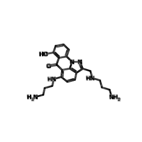 NCCCNCc1nn2c3cccc(O)c3c(=O)c3c(NCCCN)ccc1c32